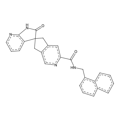 O=C(NCc1cccc2ccccc12)c1cc2c(cn1)CC1(C2)C(=O)Nc2ncccc21